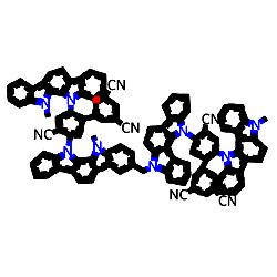 Cn1c2ccccc2c2c1ccc1c3ccccc3n(-c3cc(C#N)c(-n4c5ccccc5c5ccc6c(c7ccccc7n6Cc6ccc7c(c6)c6ccc8c9ccccc9n(-c9cc(-c%10cc(C#N)cc(C#N)c%10)c(-n%10c%11ccccc%11c%11ccc%12c%13ccccc%13n(C)c%12c%11%10)cc9C#N)c8c6n7C)c54)cc3-c3cc(C#N)cc(C#N)c3)c12